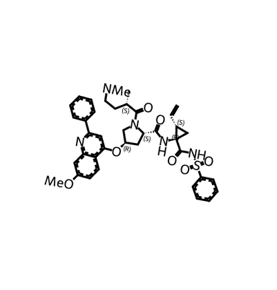 C=C[C@@H]1C[C@]1(NC(=O)[C@@H]1C[C@@H](Oc2cc(-c3ccccc3)nc3cc(OC)ccc23)CN1C(=O)[C@@H](C)CCNC)C(=O)NS(=O)(=O)c1ccccc1